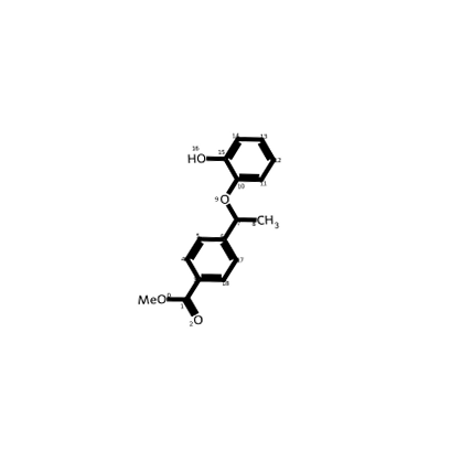 COC(=O)c1ccc(C(C)Oc2ccccc2O)cc1